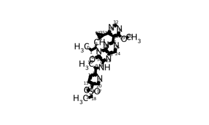 CC[C@@H](C)n1c(=O)c(NC(C)c2ccc(S(=O)(=O)CC)cn2)nc2cnc(-c3c(OC)ncnc3C3CC3)nc21